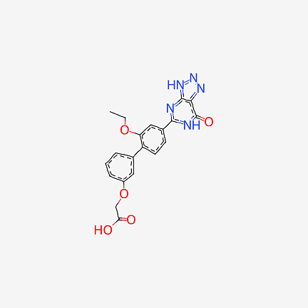 CCOc1cc(-c2nc3[nH]nnc3c(=O)[nH]2)ccc1-c1cccc(OCC(=O)O)c1